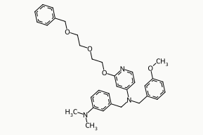 COc1cccc(CN(Cc2cccc(N(C)C)c2)c2ccnc(OCCOCCOCc3ccccc3)c2)c1